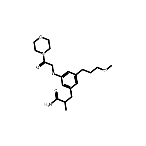 COCCCc1cc(CC(C)C(N)=O)cc(OCC(=O)N2CCOCC2)c1